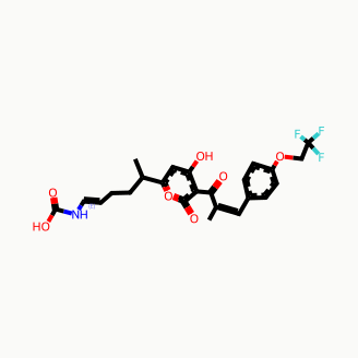 CC(=Cc1ccc(OCC(F)(F)F)cc1)C(=O)c1c(O)cc(C(C)CC/C=C/NC(=O)O)oc1=O